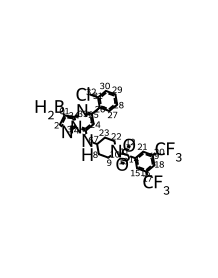 Bc1cnn2c(NC3CCN(S(=O)(=O)c4cc(C(F)(F)F)cc(C(F)(F)F)c4)CC3)cc(-c3ccccc3Cl)nc12